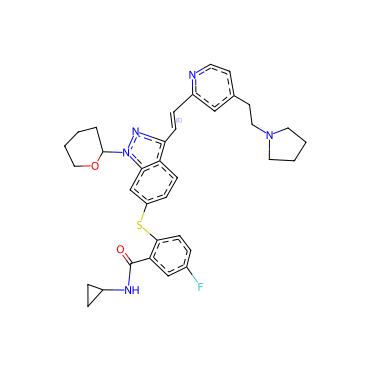 O=C(NC1CC1)c1cc(F)ccc1Sc1ccc2c(/C=C/c3cc(CCN4CCCC4)ccn3)nn(C3CCCCO3)c2c1